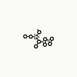 Cc1cccc(-c2nc(-c3ccc(-c4ccccc4)cc3)nc(-c3cc(-c4ccccc4)cc(-n4c5ccccc5c5c(-n6c7ccccc7c7ccccc76)cccc54)c3)n2)c1